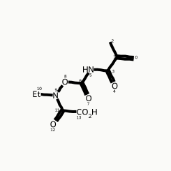 C=C(C)C(=O)NC(=O)ON(CC)C(=O)C(=O)O